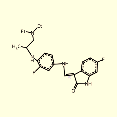 CCN(CC)CC(C)Nc1ccc(N/C=C2/C(=O)Nc3cc(F)ccc32)cc1F